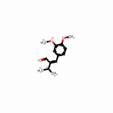 COc1ccc(/C=C(\C=O)C(C)C)cc1OC